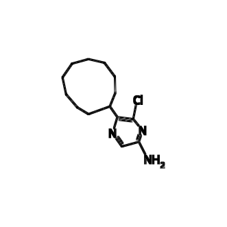 Nc1cnc(C2CCCCCCCCC2)c(Cl)n1